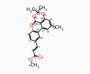 COC(=O)/C=C/c1cccc(-c2cc(C)cc3c2C(=O)OC(C)(C)O3)c1